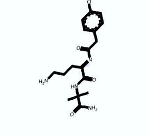 CC(C)(NC(=O)/C(CCCN)=N/C(=O)Cc1ccc(Cl)cc1)C(N)=O